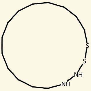 C1CCCCCCNNSSCCCCCC1